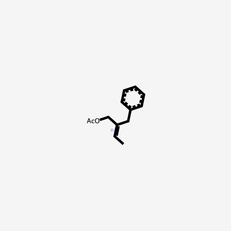 C/C=C(/COC(C)=O)Cc1ccccc1